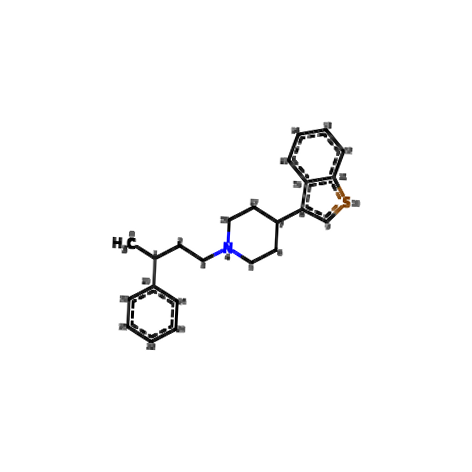 CC(CCN1CCC(c2csc3ccccc23)CC1)c1ccccc1